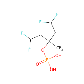 O=P(O)(O)OC(CC(F)F)(CC(F)F)C(F)(F)F